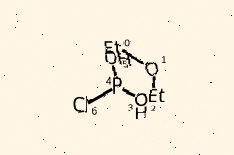 CCOCC.OP(O)Cl